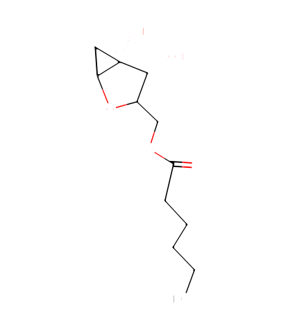 CCCCCC(=O)OCC1OC2C[C@@]2(O)[C@@H]1O